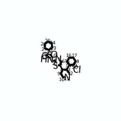 O=S(=O)(Nc1ncc(-c2ccncc2-c2ccccc2Cl)s1)c1ccccc1